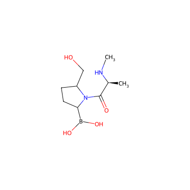 CN[C@@H](C)C(=O)N1C(CO)CCC1B(O)O